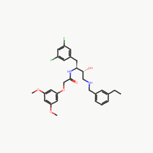 CCc1cccc(CNC[C@@H](O)[C@H](Cc2cc(F)cc(F)c2)NC(=O)COc2cc(OC)cc(OC)c2)c1